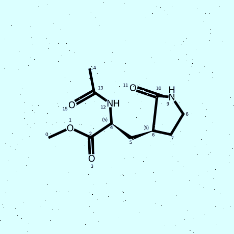 COC(=O)[C@H](C[C@@H]1CCNC1=O)NC(C)=O